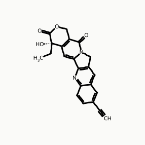 C#Cc1ccc2nc3c(cc2c1)Cn1c-3cc2c(c1=O)COC(=O)[C@]2(O)CC